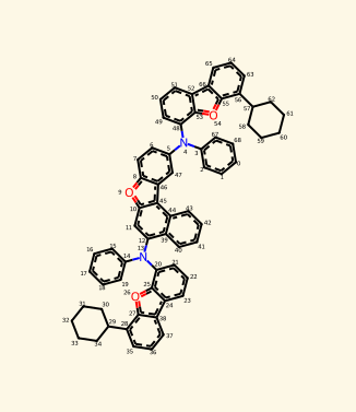 c1ccc(N(c2ccc3oc4cc(N(c5ccccc5)c5cccc6c5oc5c(C7CCCCC7)cccc56)c5ccccc5c4c3c2)c2cccc3c2oc2c(C4CCCCC4)cccc23)cc1